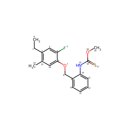 CCc1cc(F)c(OCc2ccccc2NC(=S)OC)cc1C